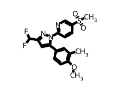 COc1ccc(-c2cc(C(F)F)nn2-c2ccc(S(C)(=O)=O)cn2)cc1C